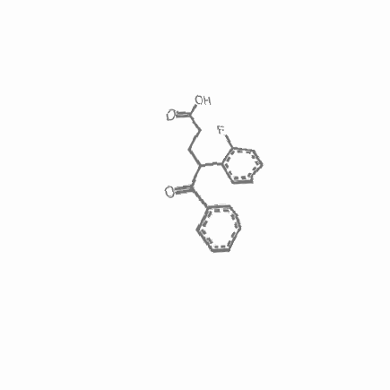 O=C(O)CCC(C(=O)c1ccccc1)c1ccccc1F